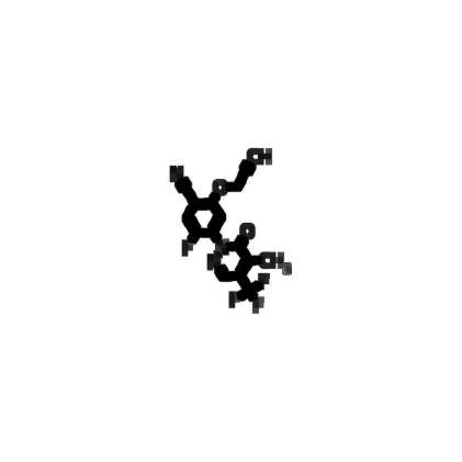 C#CCOc1cc(-n2ncc(C(F)(F)F)c(C)c2=O)c(F)cc1C#N